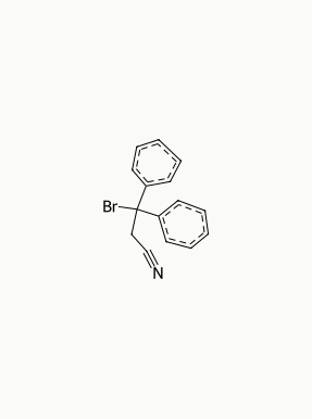 N#CCC(Br)(c1ccccc1)c1ccccc1